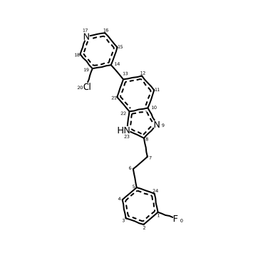 Fc1cccc(CCc2nc3ccc(-c4ccncc4Cl)cc3[nH]2)c1